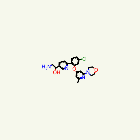 Cc1cc(Oc2cc(Cl)ccc2-c2ccc(C(O)CN)cn2)cc(N2CCOCC2)n1